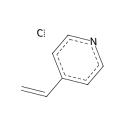 C=Cc1ccncc1.[C]